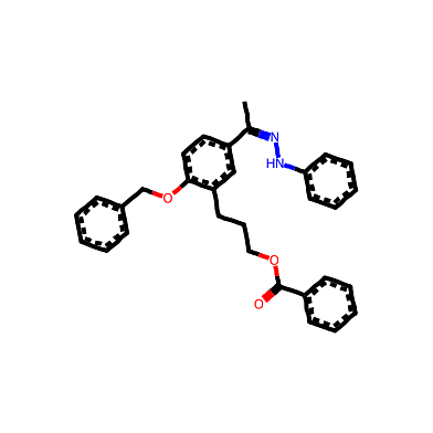 CC(=NNc1ccccc1)c1ccc(OCc2ccccc2)c(CCCOC(=O)c2ccccc2)c1